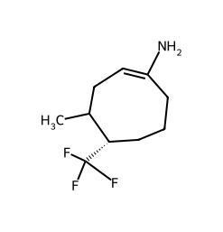 CC1C/C=C(/N)CCC[C@@H]1C(F)(F)F